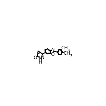 Cc1ccc(-c2nc3ccc(C4=NNC(=O)C5CC45)cc3o2)cc1C